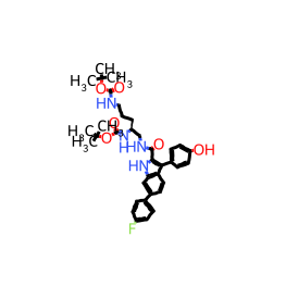 CC(C)(C)OC(=O)NCCC[C@@H](CNC(=O)c1[nH]c2cc(-c3ccc(F)cc3)ccc2c1-c1ccc(O)cc1)NC(=O)OC(C)(C)C